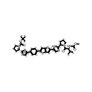 COC(=O)N[C@H](C(=O)N1CCCC1c1ncc(-c2cc3sc(-c4ccc(-c5cnc([C@@H]6CCCN6C(=O)OC(C)(C)C)[nH]5)cc4)cc3s2)[nH]1)C(C)C